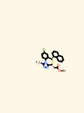 CC(C)OC(=O)C[C@H]1S[C@H](c2cccc3ccccc23)c2cc(Cl)ccc2-n2c1nnc2C(F)(F)F